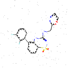 O=S1(=O)N=C(NCc2ncco2)Nc2c(-c3cccc(F)c3F)cccc21